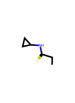 CCC(=S)NC1CC1